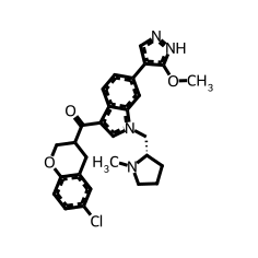 COc1[nH]ncc1-c1ccc2c(C(=O)C3COc4ccc(Cl)cc4C3)cn(C[C@@H]3CCCN3C)c2c1